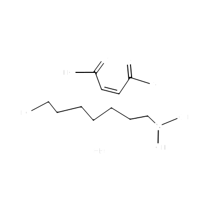 Br.CCCCCCCCN(C)C.O=C(O)/C=C\C(=O)O